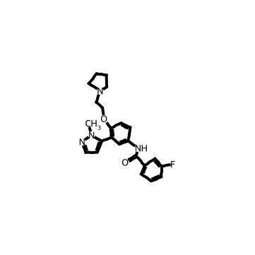 Cn1nccc1-c1cc(NC(=O)c2cccc(F)c2)ccc1OCCN1CCCC1